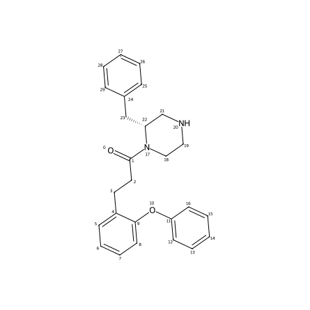 O=C(CCc1ccccc1Oc1ccccc1)N1CCNC[C@H]1Cc1cc[c]cc1